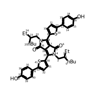 CCCCC(CC)CN1C(=O)C2=C(c3ccc(-c4ccc(O)cc4)s3)N(CC(CC)CCCC)C(=O)C2=C1c1ccc(-c2ccc(O)cc2)s1